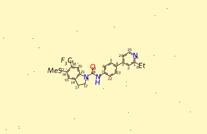 CCc1cc(-c2ccc(NC(=O)N3CCc4cc(SC)c(C(F)(F)F)cc43)cc2)ccn1